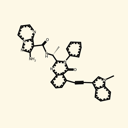 C[C@@H](NC(=O)c1c(N)nn2cccnc12)c1nc2cccc(C#Cc3cn(C)c4ccccc34)c2c(=O)n1-c1ccccc1